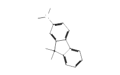 CN(C)c1ccc2c(c1)C(C)(C)c1ccccc1-2